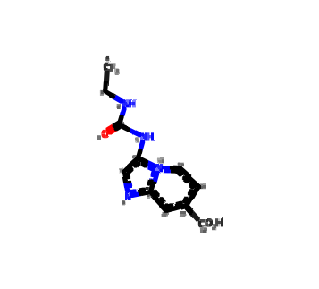 O=C(NCC(F)(F)F)Nc1cnc2cc(C(=O)O)ccn12